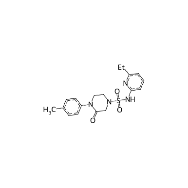 CCc1cccc(NS(=O)(=O)N2CCN(c3ccc(C)cc3)C(=O)C2)n1